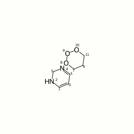 C1=CNCN=C1.C1COOOC1